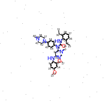 C=N/C(=C\C(=N/C)Nc1ccc(OC)cc1OC)N(C(=O)Nc1c(CC)cccc1CC)c1ccc(N2CCN(C)CC2)cc1